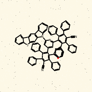 N#Cc1c(-c2ccccc2)c(-c2ccccc2)c(-c2cc(-c3c(-c4ccccc4)c(-c4ccccc4)c(C#N)c(-c4ccccc4)c3-c3ccccc3)nc(-n3c4ccccc4c4cc5c(cc43)sc3ccccc35)c2)c(-c2ccccc2)c1-c1ccccc1